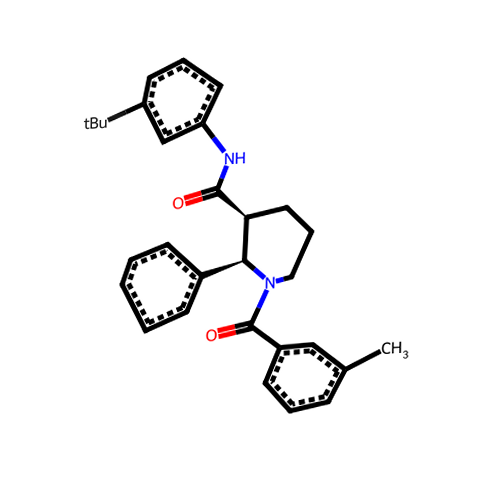 Cc1cccc(C(=O)N2CCC[C@H](C(=O)Nc3cccc(C(C)(C)C)c3)[C@@H]2c2ccccc2)c1